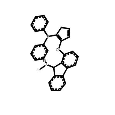 CCP(CC)C1c2ccccc2-c2ccc[c]([Zr][C]3=C(B(c4ccccc4)c4ccccc4)CC=C3)c21